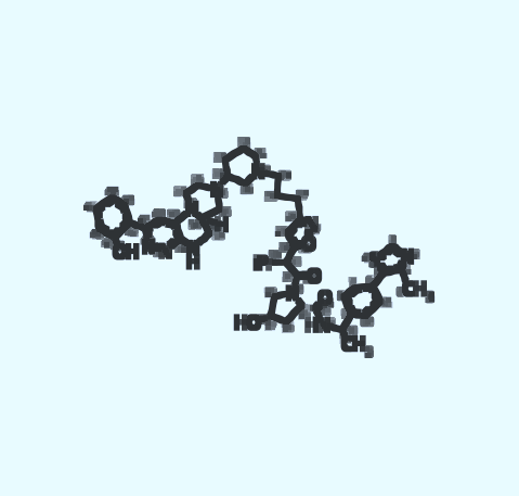 Cc1ncsc1-c1ccc(C(C)NC(=O)[C@@H]2C[C@@H](O)CN2C(=O)C(c2cc(CCCN3CCCC(N4CCN5c6cc(-c7ccccc7O)nnc6NC[C@H]5C4)C3)no2)C(C)C)cc1